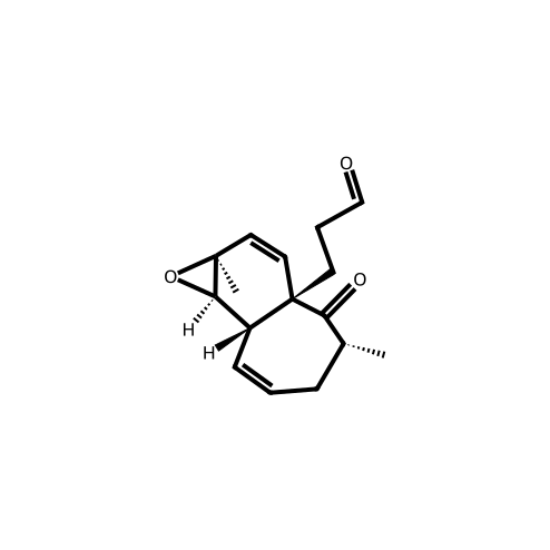 C[C@@H]1CC=C[C@@H]2[C@H]3O[C@@]3(C)C=C[C@]2(CCC=O)C1=O